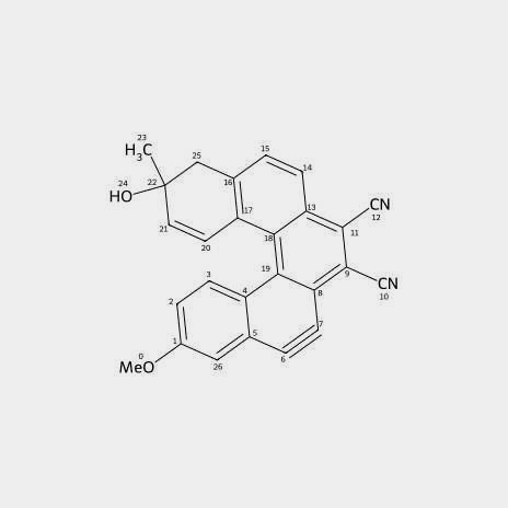 COc1ccc2c(c#cc3c(C#N)c(C#N)c4ccc5c(c4c32)C=CC(C)(O)C5)c1